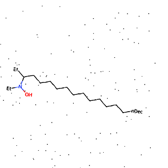 CCCCCCCCCCCCCCCCCCCCCCC(CC)N(O)CC